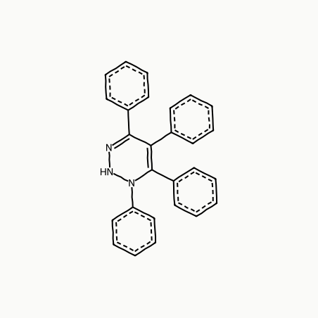 c1ccc(C2=NNN(c3ccccc3)C(c3ccccc3)=C2c2ccccc2)cc1